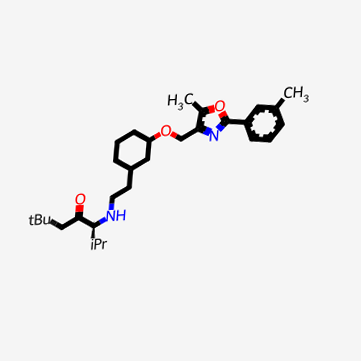 Cc1cccc(-c2nc(COC3CCCC(CCN[C@H](C(=O)CC(C)(C)C)C(C)C)C3)c(C)o2)c1